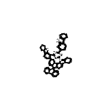 c1ccc2c(c1)-c1ccccc1C21c2ccccc2-c2c1ccc1c3ccccc3n(-c3nc(-c4ccc5c(c4)oc4ccccc45)nc(-c4cccc5c4oc4ccccc45)n3)c21